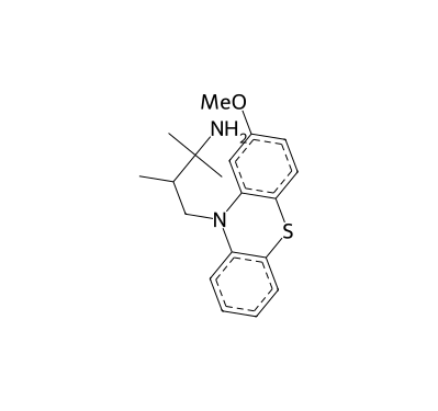 COc1ccc2c(c1)N(CC(C)C(C)(C)N)c1ccccc1S2